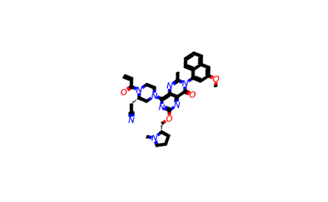 C=CC(=O)N1CCN(c2nc(OC[C@@H]3CCCN3C)nc3c(=O)n(-c4cc(OC)cc5ccccc45)c(C)nc23)C[C@@H]1CC#N